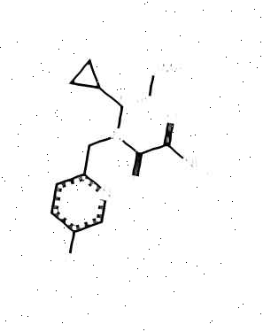 COC[C@@H](C1CC1)N(Cc1ccc(C(F)(F)F)cn1)C(=O)C(N)=O